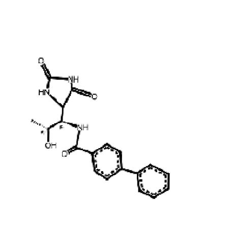 C[C@@H](O)[C@H](NC(=O)c1ccc(-c2ccccc2)cc1)C1NC(=O)NC1=O